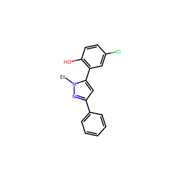 CCn1nc(-c2ccccc2)cc1-c1cc(Cl)ccc1O